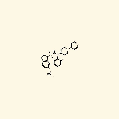 C[N+](C)(C(=O)N(c1ccccc1Cl)C1CCN(c2ccncc2)CC1)C1CCc2ccc(OC(=O)O)cc21